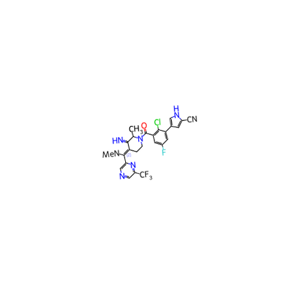 CN/C(=C1/CCN(C(=O)c2cc(F)cc(-c3c[nH]c(C#N)c3)c2Cl)C(C)C1=N)c1cncc(C(F)(F)F)n1